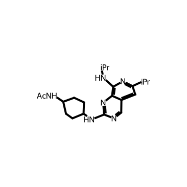 CC(=O)NC1CCC(Nc2ncc3cc(C(C)C)nc(NC(C)C)c3n2)CC1